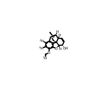 [2H]COc1c([2H])c([2H])c2c3c1O[C@H]1[C@@H](O)C=C[C@H]4[C@@H](C2)N(C)CC[C@@]341